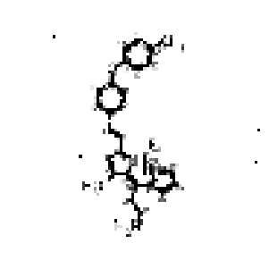 CC1=CC(/C=C/c2ccc(Oc3ccc(C)cc3)cc2)=[N+]2[BH-](F)n3cccc3C(CCN)=C12